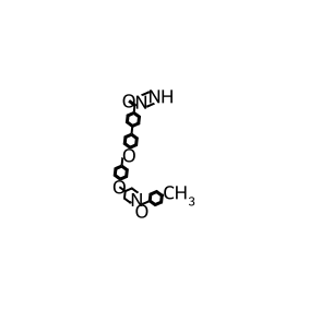 Cc1ccc(C(=O)N2CCC(Oc3ccc(COc4ccc(-c5ccc(C(=O)N6CCNCC6)cc5)cc4)cc3)CC2)cc1